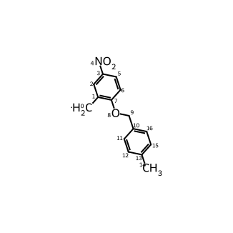 [CH2]c1cc([N+](=O)[O-])ccc1OCc1ccc(C)cc1